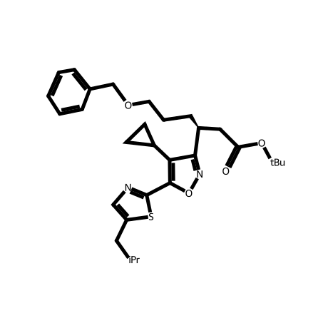 CC(C)Cc1cnc(-c2onc([C@@H](CCCOCc3ccccc3)CC(=O)OC(C)(C)C)c2C2CC2)s1